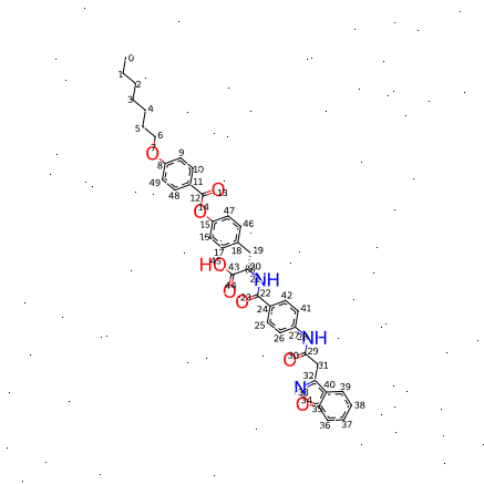 CCCCCCCOc1ccc(C(=O)Oc2ccc(C[C@H](NC(=O)c3ccc(NC(=O)Cc4noc5ccccc45)cc3)C(=O)O)cc2)cc1